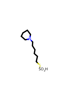 O=S(=O)(O)SCCCCCCN1CCCCC1